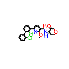 COc1nc(-c2cccc(-c3ccccc3Cl)c2Cl)ccc1CN[C@H]1CCOC[C@@H]1O